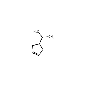 CC(C)C1CC=CC1